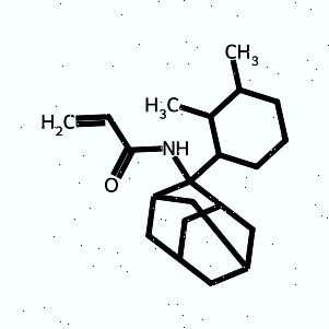 C=CC(=O)NC1(C2CCCC(C)C2C)C2CC3CC(C2)CC1C3